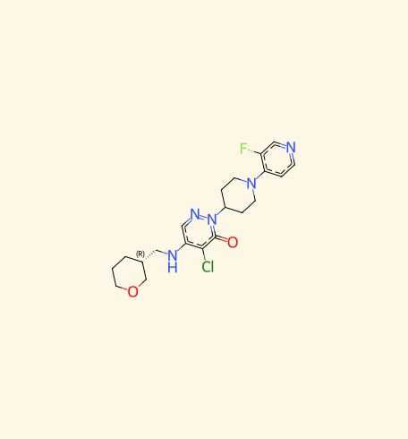 O=c1c(Cl)c(NC[C@H]2CCCOC2)cnn1C1CCN(c2ccncc2F)CC1